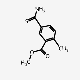 COC(=O)c1cc(C(N)=S)ccc1C